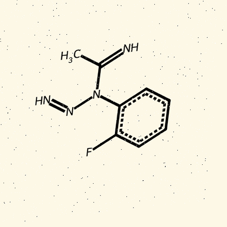 CC(=N)N(N=N)c1ccccc1F